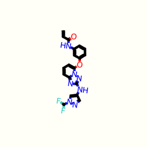 C=CC(=O)Nc1cccc(Oc2cccc3nc(Nc4cnn(C(F)F)c4)nn23)c1